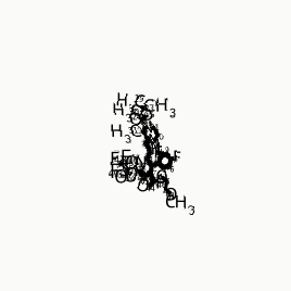 COCCOc1cc(F)cc(F)c1-c1c(-c2cc3n(n2)CCN(C(=O)OC(C)(C)C)[C@@H]3C)nc(OS(=O)(=O)C(F)(F)F)c2occ(F)c12